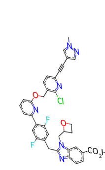 Cn1cc(C#Cc2ccc(COc3cccc(-c4cc(F)c(Cc5nc6ccc(C(=O)O)cc6n5CC5CCO5)cc4F)n3)c(Cl)n2)cn1